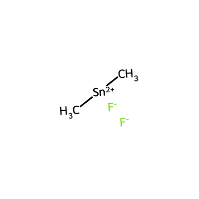 [CH3][Sn+2][CH3].[F-].[F-]